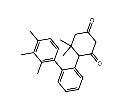 Cc1ccc(-c2ccccc2C2C(=O)CC(=O)CC2(C)C)c(C)c1C